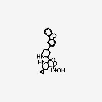 O=C(NO)C1CC2(CC2)CNC1C(=O)C1CC(c2ccc3oc4ccccc4c3c2)=CCN1